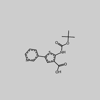 CC(C)(C)OC(=O)Nc1sc(-c2cccnc2)cc1C(=O)O